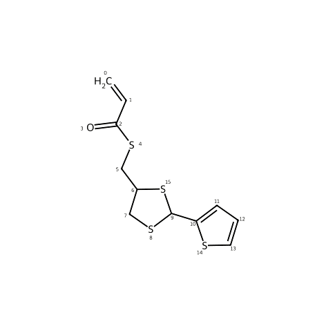 C=CC(=O)SCC1CSC(c2cccs2)S1